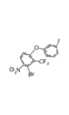 O=[N+]([O-])c1ccc(Oc2cccc(F)c2)c(C(F)(F)F)c1Br